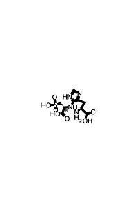 N[C@@H](Cc1nc[nH]c1N[C@@H](CS(=O)(=O)O)C(=O)O)C(=O)O